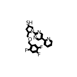 Fc1cc(F)c(COCC2CC(S)CN2c2ncc(-c3ccccn3)cn2)cc1F